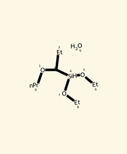 CCCOC(CC)[SiH](OCC)OCC.O